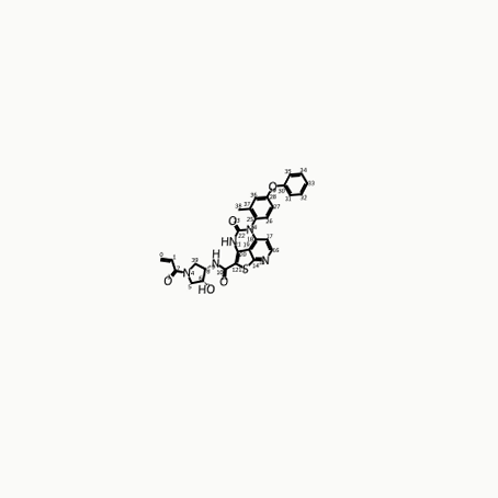 C=CC(=O)N1C[C@@H](O)[C@@H](NC(=O)c2sc3nccc4c3c2NC(=O)N4c2ccc(Oc3ccccc3)cc2C)C1